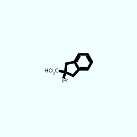 CC(C)C1(C(=O)O)Cc2ccccc2C1